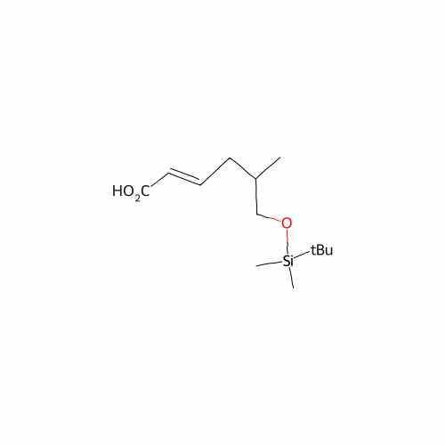 CC(CC=CC(=O)O)CO[Si](C)(C)C(C)(C)C